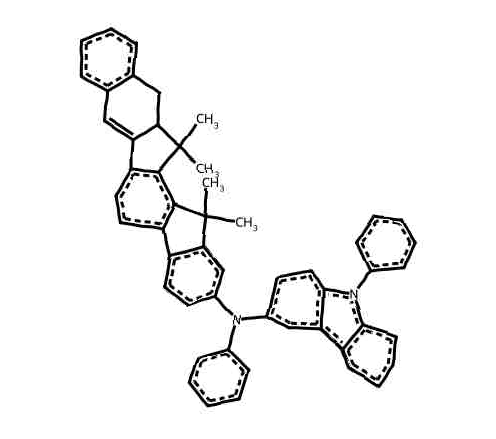 CC1(C)c2cc(N(c3ccccc3)c3ccc4c(c3)c3ccccc3n4-c3ccccc3)ccc2-c2ccc3c(c21)C(C)(C)C1Cc2ccccc2C=C31